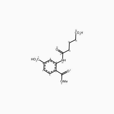 COC(=O)c1ccc(C(=O)O)cc1NC(=O)CCCC(=O)O